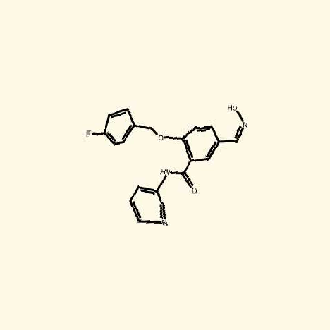 O=C(Nc1cccnc1)c1cc(/C=N\O)ccc1OCc1ccc(F)cc1